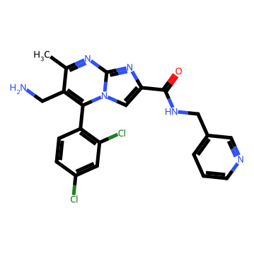 Cc1nc2nc(C(=O)NCc3cccnc3)cn2c(-c2ccc(Cl)cc2Cl)c1CN